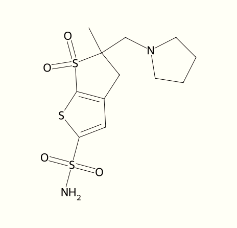 CC1(CN2CCCC2)Cc2cc(S(N)(=O)=O)sc2S1(=O)=O